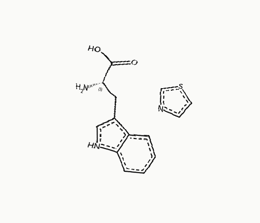 N[C@@H](Cc1c[nH]c2ccccc12)C(=O)O.c1cscn1